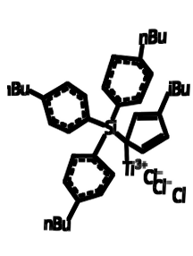 CCCCc1ccc([Si](c2ccc(CCCC)cc2)(c2ccc(CCCC)cc2)[C]2([Ti+3])C=CC(C(C)CC)=C2)cc1.[Cl-].[Cl-].[Cl-]